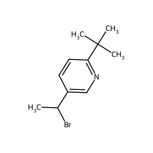 CC(Br)c1ccc(C(C)(C)C)nc1